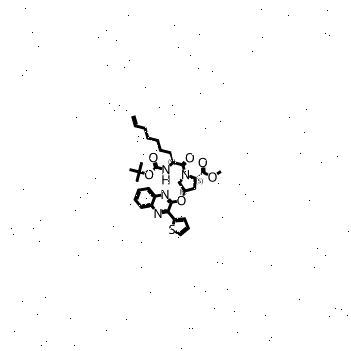 C=CCCCCC[C@H](NC(=O)OC(C)(C)C)C(=O)N1C[C@H](Oc2nc3ccccc3nc2-c2cccs2)C[C@H]1C(=O)OC